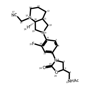 CC(=O)NCC1CN(c2ccc(N3CC4CCCN(CC#N)[C@@H]4C3)c(F)c2)C(=O)O1